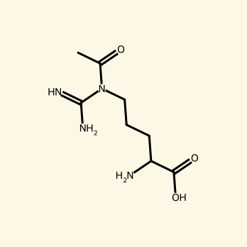 CC(=O)N(CCCC(N)C(=O)O)C(=N)N